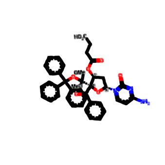 COC(OC)(OC(c1ccccc1)(c1ccccc1)c1ccccc1)[C@@]1(C(=O)c2ccccc2)O[C@@H](n2ccc(N)nc2=O)C[C@@H]1OC(=O)CCC(=O)O